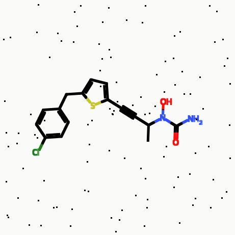 CC(C#Cc1ccc(Cc2ccc(Cl)cc2)s1)N(O)C(N)=O